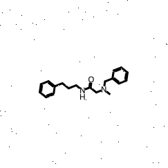 CN(CC(=O)NCCCc1ccccc1)Cc1ccccc1